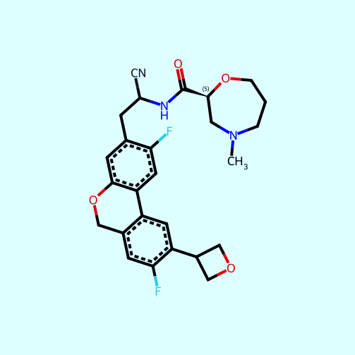 CN1CCCO[C@H](C(=O)NC(C#N)Cc2cc3c(cc2F)-c2cc(C4COC4)c(F)cc2CO3)C1